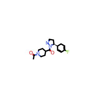 CC(=O)N1CCC(C(=O)N2N=CC[C@H]2C2C=CC(F)=CC2)CC1